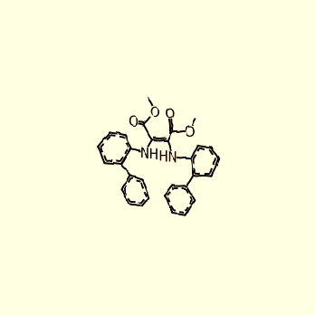 COC(=O)C(Nc1ccccc1-c1ccccc1)=C(Nc1ccccc1-c1ccccc1)C(=O)OC